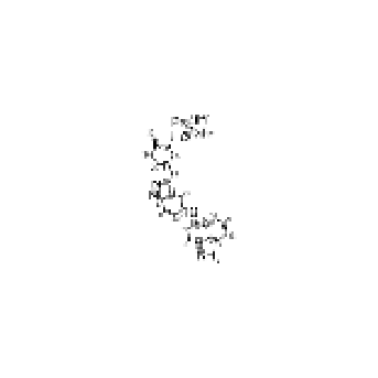 CC(C)[Si](OCC1CN(Cc2nnc3ccc(O[C@@H]4CC[C@H](N)c5ccccc54)cn23)CCN1C)(C(C)C)C(C)C